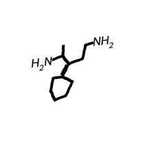 CC(N)C(CCN)=C1CCCCC1